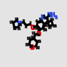 NC1=Nc2cc(OCCCN3CCCC3)c(OCC3CCOCC3)cc2C12CCC2